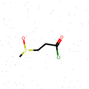 C[S+]([O-])CCC(=O)Cl